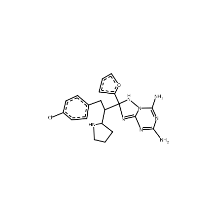 NC1=NC2=NC(c3ccco3)(C(Cc3ccc(Cl)cc3)C3CCCN3)NN2C(N)=N1